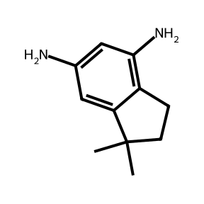 CC1(C)CCc2c(N)cc(N)cc21